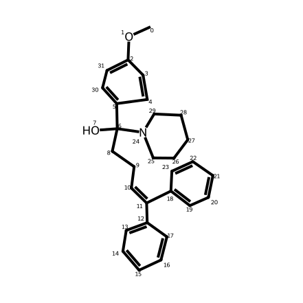 COc1ccc(C(O)(CCC=C(c2ccccc2)c2ccccc2)N2CCCCC2)cc1